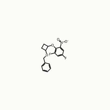 O=[N+]([O-])c1cc(F)cc(F)c1OC1CCC1OCc1ccccc1